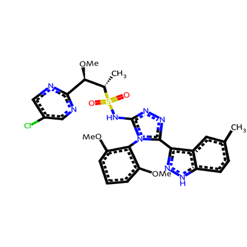 COc1cccc(OC)c1-n1c(NS(=O)(=O)[C@@H](C)[C@H](OC)c2ncc(Cl)cn2)nnc1-c1n[nH]c2ccc(C)cc12